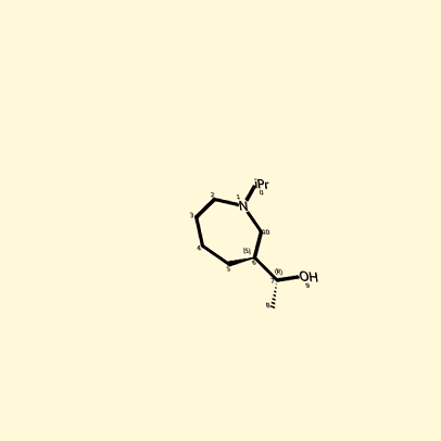 CC(C)N1CCCC[C@H]([C@@H](C)O)C1